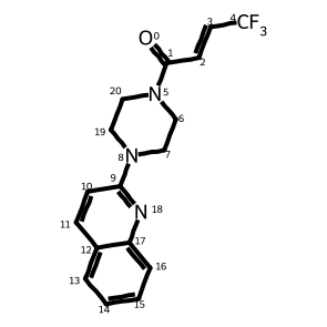 O=C(/C=C/C(F)(F)F)N1CCN(c2ccc3ccccc3n2)CC1